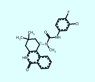 CN(C(=O)Nc1ccc(F)c(Cl)c1)[C@H]1CC(C)(C)Cc2[nH]c(=O)c3ccccc3c21